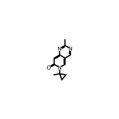 Cc1ncc2cn(C3(C)CC3)c(=O)cc2n1